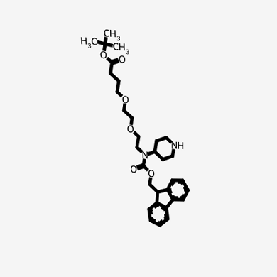 CC(C)(C)OC(=O)CCCOCCOCCN(C(=O)OCC1c2ccccc2-c2ccccc21)C1CCNCC1